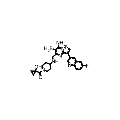 Bc1c(CNC2CCN(C(=O)C3(O)CC3)CC2)nc2c(-c3cnc4ccc(F)cc4c3)cnn2c1N